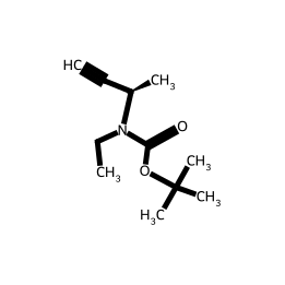 C#C[C@@H](C)N(CC)C(=O)OC(C)(C)C